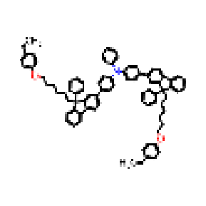 C=Cc1ccc(OCCCCCCC2(c3ccccc3)c3ccccc3-c3ccc(-c4ccc(N(c5ccccc5)c5ccc(-c6ccc7c(c6)C(CCCCCCOc6ccc(C=C)cc6)(c6ccccc6)c6ccccc6-7)cc5)cc4)cc32)cc1